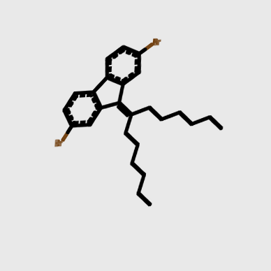 CCCCCCC(CCCCCC)=C1c2cc(Br)ccc2-c2ccc(Br)cc21